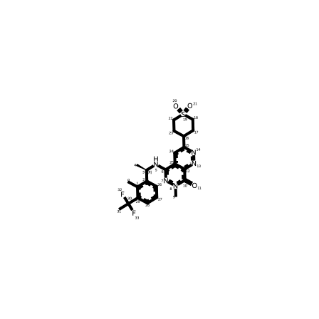 Cc1c([C@@H](C)Nc2nn(C)c(=O)c3nnc(C4CCS(=O)(=O)CC4)cc23)cccc1C(C)(F)F